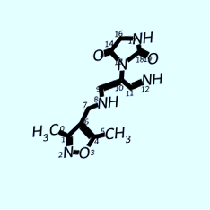 Cc1noc(C)c1CN/C=C(\C=N)N1C(=O)CNC1=O